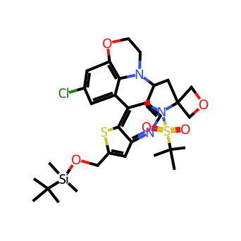 CC(C)(C)[Si](C)(C)OCc1cc2nccc(-c3cc(Cl)cc4c3N(C3CN(S(=O)(=O)C(C)(C)C)C5(COC5)C3)CCO4)c2s1